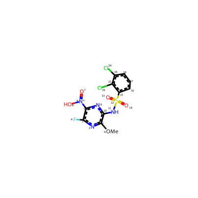 COc1nc(F)c([N+](=O)O)nc1NS(=O)(=O)c1cccc(Cl)c1Cl